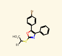 CCC(Sc1nc(-c2ccccc2)c(-c2ccc(Br)cc2)o1)C(=O)O